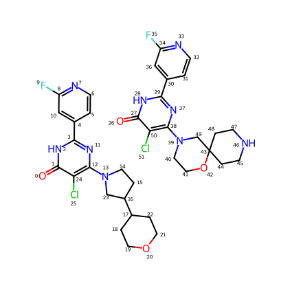 O=c1[nH]c(-c2ccnc(F)c2)nc(N2CCC(C3CCOCC3)C2)c1Cl.O=c1[nH]c(-c2ccnc(F)c2)nc(N2CCOC3(CCNCC3)C2)c1Cl